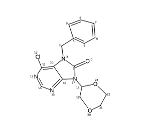 O=c1n(Cc2ccccc2)c2c(Cl)ncnc2n1C1COCCO1